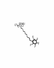 CCO[Si](O)(CCCCCCCCCc1c(F)c(F)c(F)c(F)c1F)OCC